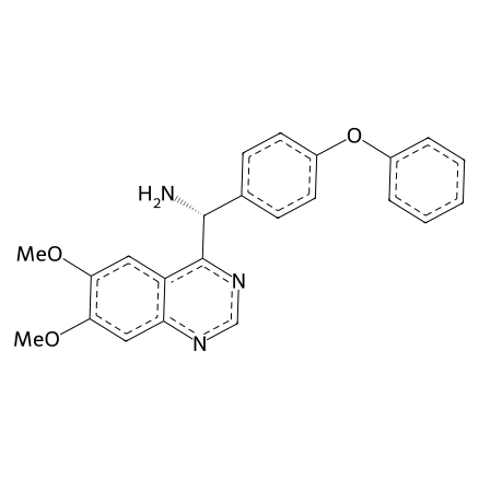 COc1cc2ncnc([C@H](N)c3ccc(Oc4ccccc4)cc3)c2cc1OC